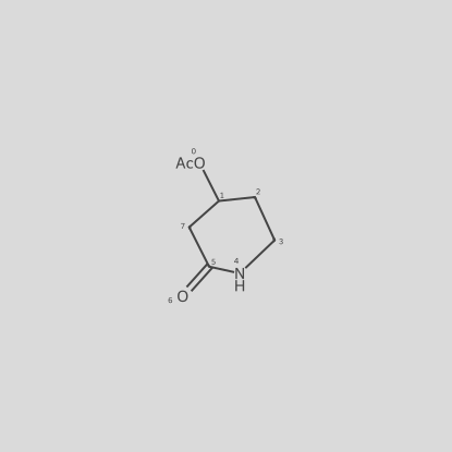 CC(=O)OC1CCNC(=O)C1